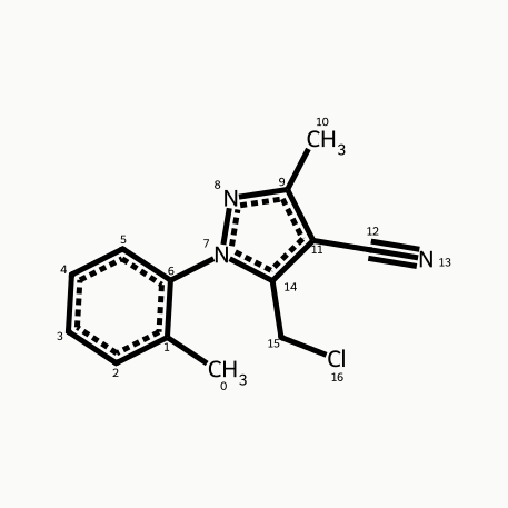 Cc1ccccc1-n1nc(C)c(C#N)c1CCl